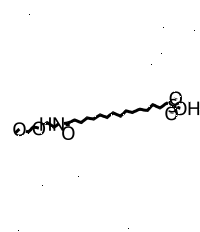 COCCOCCNC(=O)CCCCCCCCCCCCCCCS(=O)(=O)O